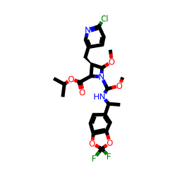 COC(NC(C)c1ccc2c(c1)OC(F)(F)O2)N1C(OC)[C@H](Cc2ccc(Cl)nc2)C1C(=O)OC(C)C